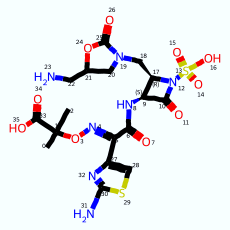 CC(C)(ON=C(C(=O)N[C@@H]1C(=O)N(S(=O)(=O)O)[C@@H]1CN1CC(CN)OC1=O)c1csc(N)n1)C(=O)O